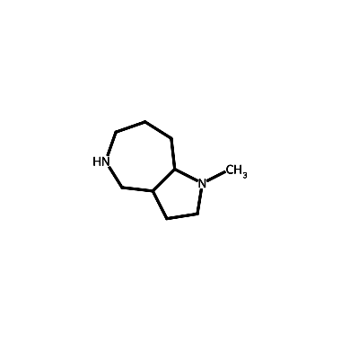 CN1CCC2CNCCCC21